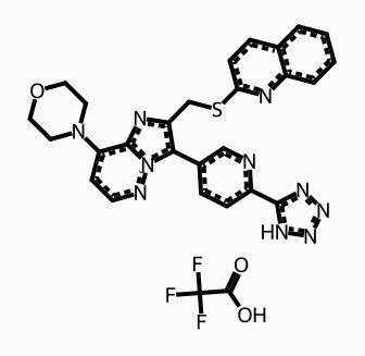 O=C(O)C(F)(F)F.c1ccc2nc(SCc3nc4c(N5CCOCC5)ccnn4c3-c3ccc(-c4nnn[nH]4)nc3)ccc2c1